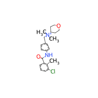 Cc1c(Cl)cccc1C(=O)Nc1ccc(C[N+](C)(C)C2CCOCC2)cc1